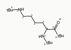 CC(C)(C)NCCCCC(NC(C)(C)C)C(=O)C(C)(C)C